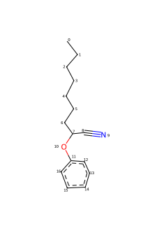 CCCCCCCC(C#N)Oc1ccccc1